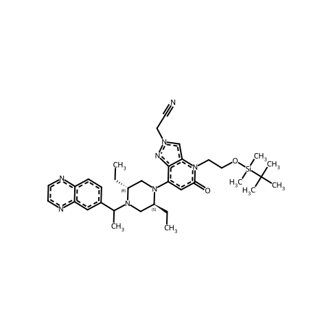 CC[C@H]1CN(C(C)c2ccc3nccnc3c2)[C@H](CC)CN1c1cc(=O)n(CCO[Si](C)(C)C(C)(C)C)c2cn(CC#N)nc12